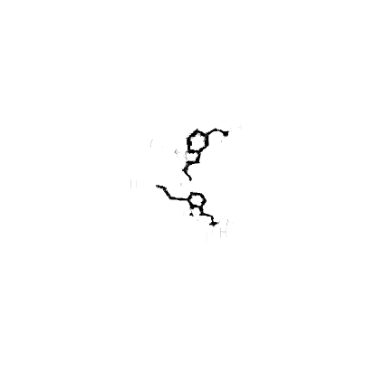 CCCc1c(OCCc2cc3cc(CC(=O)O)ccc3n2C)ccc2c(CC(C)(C)C)noc12